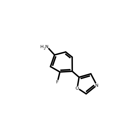 Nc1ccc(-c2cnco2)c(F)c1